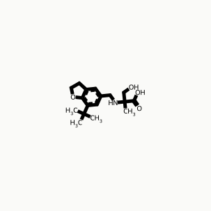 CC(CO)(NCc1cc2c(c(C(C)(C)C)c1)OCC2)C(=O)O